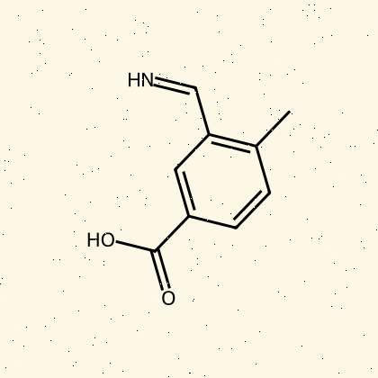 Cc1ccc(C(=O)O)cc1C=N